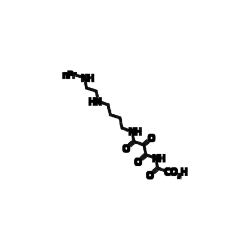 CCCNCCNCCCCNC(=O)C(=O)C(=O)NC(=O)C(=O)O